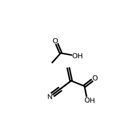 C=C(C#N)C(=O)O.CC(=O)O